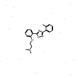 Cc1ccccc1-c1noc(-c2ccccc2OCCN(C)C)n1